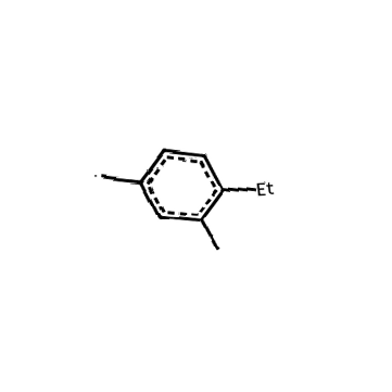 [CH2]c1ccc(CC)c(C)c1